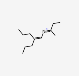 CCCC(=C/N=C(\C)CC)CCC